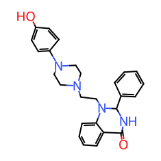 O=C1NC(c2ccccc2)N(CCN2CCN(c3ccc(O)cc3)CC2)c2ccccc21